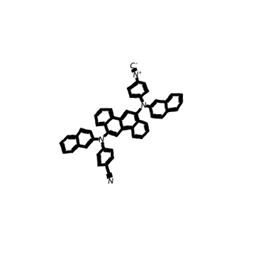 [C-]#[N+]c1ccc(N(c2ccc3ccccc3c2)c2cc3c4ccccc4c(N(c4ccc(C#N)cc4)c4ccc5ccccc5c4)cc3c3ccccc23)cc1